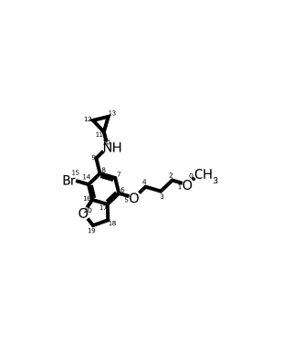 COCCCOc1cc(CNC2CC2)c(Br)c2c1CCO2